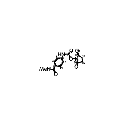 CNC(=O)c1ccc(NC(=O)ON2C(=O)CCC2=O)cc1